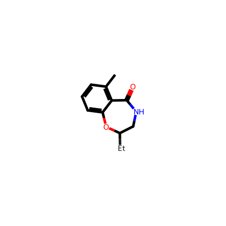 CCC1CNC(=O)c2c(C)cccc2O1